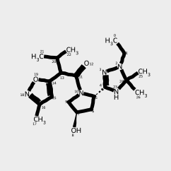 CCN1N=C([C@@H]2C[C@@H](O)CN2C(=O)C(c2cc(C)no2)C(C)C)NC1(C)C